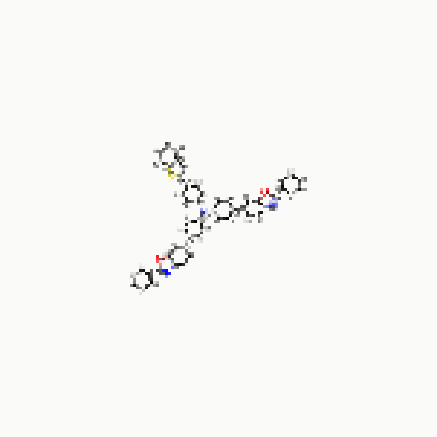 c1ccc(-c2nc3ccc(-c4ccc(N(c5ccc(-c6ccc7nc(-c8ccccc8)oc7c6)cc5)c5ccc(-c6cc7ccccc7s6)cc5)cc4)cc3o2)cc1